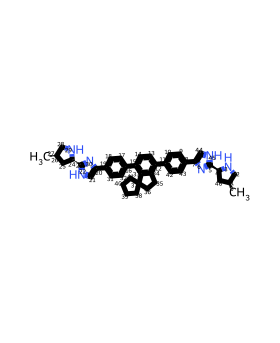 C[C@@H]1CN[C@H](c2nc(-c3ccc(-c4ccc(-c5ccc(-c6c[nH]c([C@@H]7C[C@H](C)CN7)n6)cc5)c5c4CCC54CCCC4)cc3)c[nH]2)C1